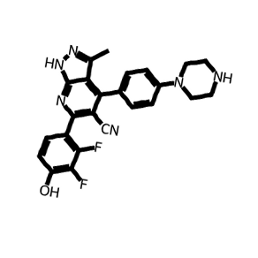 Cc1n[nH]c2nc(-c3ccc(O)c(F)c3F)c(C#N)c(-c3ccc(N4CCNCC4)cc3)c12